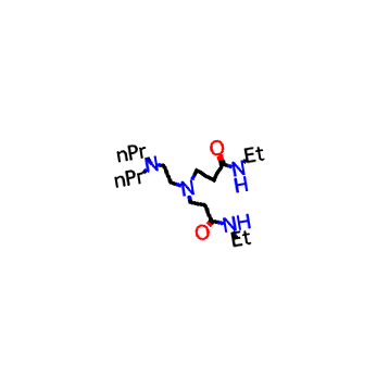 CCCN(CCC)CCN(CCC(=O)NCC)CCC(=O)NCC